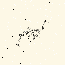 CCCOCCn1cc(CNC(=O)COCC2OC(OC3C(CO)OC(OC)C(OCC(=O)NCc4cn(CCOCCOC)nn4)C3O)C(O)C(O)C2OC)nn1